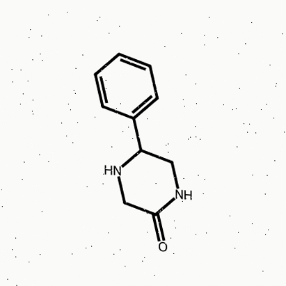 O=C1CNC(c2ccccc2)CN1